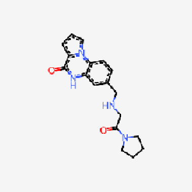 O=C(CNCc1ccc2c(c1)[nH]c(=O)c1cccn12)N1CCCC1